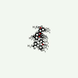 CCC1O[C@@H](OC2[C@H](O[C@H]3CCC4(C)C5CC=C6C7CC(C)(C)CC[C@]7(C(=O)Cl)[C@@H](OC)C[C@@]6(C)C5(C)CC[C@H]4[C@@]3(C)C=O)OC(C(C)=O)[C@@H](C)[C@@H]2O[C@@H]2OC[C@@H](C)[C@@H](C)C2C)C(O[Si](CC)(CC)CC)[C@@H](C)[C@H]1C